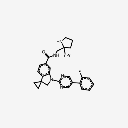 CCCC1(CNC(=O)c2ccc3c(c2)N(c2ncc(-c4ccccc4F)cn2)CC32CC2)CCCN1